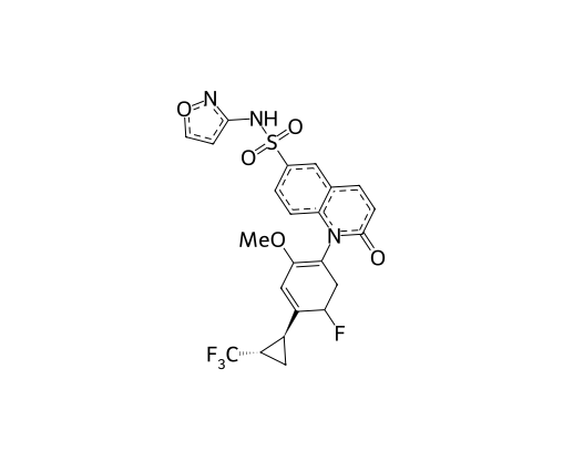 COC1=C(n2c(=O)ccc3cc(S(=O)(=O)Nc4ccon4)ccc32)CC(F)C([C@H]2C[C@@H]2C(F)(F)F)=C1